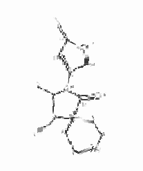 CC1C(I)C2(CCNCC2)C(=O)N1C1=CC(=O)OC1